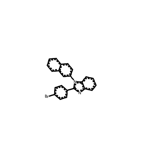 Brc1ccc(-c2nc3ccccc3n2-c2ccc3ccccc3c2)cc1